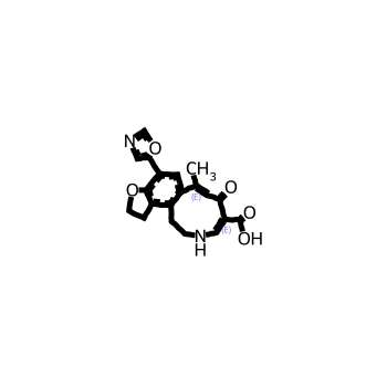 C/C1=C\C(=O)/C(C(=O)O)=C\NCCc2c1cc(-c1cnco1)c1c2CCO1